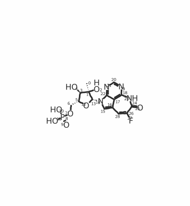 C[C@@]1(O)[C@H](O)[C@@H](COP(=O)(O)O)O[C@H]1n1cc2c3c(ncnc31)NC(=O)C(F)=C2